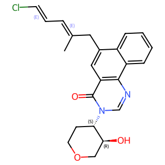 C/C(=C\C=C\Cl)Cc1cc2c(=O)n([C@H]3CCOC[C@@H]3O)cnc2c2ccccc12